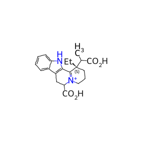 CC[C@@]1(C(C)C(=O)O)CCC[N+]2=C1c1[nH]c3ccccc3c1CC2C(=O)O